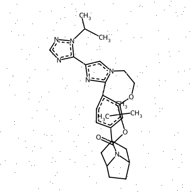 CC(C)n1ncnc1-c1cn2c(n1)-c1ccc(C3CC4CCC(C3)N4C(=O)OC(C)(C)C)cc1OCC2